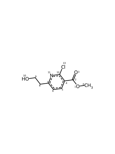 COC(=O)c1ccc(CCO)nc1Cl